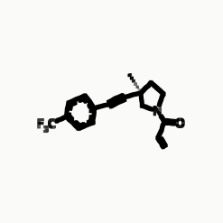 C=CC(=O)N1CC[C@](C)(C#Cc2ccc(C(F)(F)F)cc2)C1